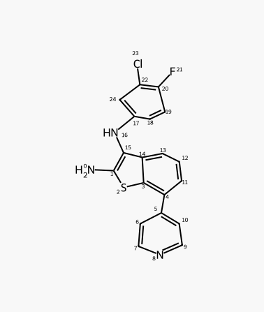 Nc1sc2c(-c3ccncc3)cccc2c1Nc1ccc(F)c(Cl)c1